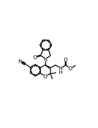 COC(=O)NCC1=C(N2Cc3ccccc3C2=O)c2cc(C#N)ccc2OC1(C)C